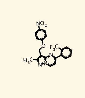 Cc1nn2ccc(-c3ccccc3C(F)(F)F)nc2c1COc1ccc([N+](=O)[O-])cc1